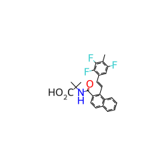 Cc1c(F)cc(C=Cc2c(C(=O)NC(C)(C)C(=O)O)ccc3ccccc23)c(F)c1F